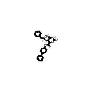 O=C(NC1CCC(c2ccccc2)CC1)c1[nH]c(=O)[nH]c(=O)c1NC(Cl)Cc1ccccc1